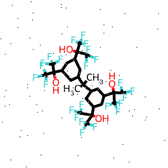 CC(C)(C1CC(C(O)(C(F)(F)F)C(F)(F)F)CC(C(O)(C(F)(F)F)C(F)(F)F)C1)C1CC(C(O)(C(F)(F)F)C(F)(F)F)CC(C(O)(C(F)(F)F)C(F)(F)F)C1